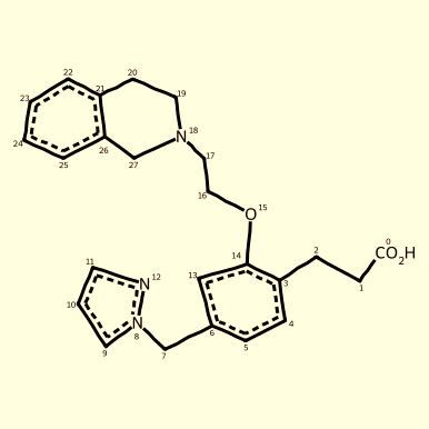 O=C(O)CCc1ccc(Cn2cccn2)cc1OCCN1CCc2ccccc2C1